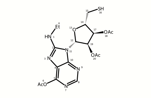 CCNc1nc2c(OC(C)=O)ncnc2n1[C@@H]1O[C@H](CS)[C@@H](OC(C)=O)[C@H]1OC(C)=O